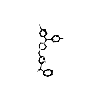 O=C(c1ccccc1)c1cc(CN2CCN(C(c3ccc(F)cc3)c3ccc(F)cc3)CC2)on1